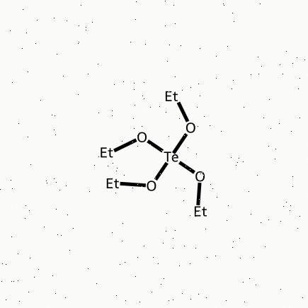 CCO[Te](OCC)(OCC)OCC